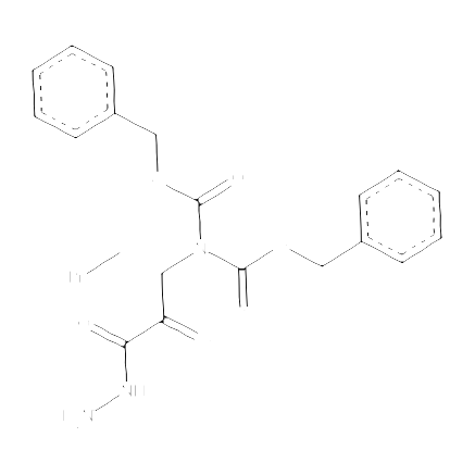 CC(C)C[C@@H](C(=O)C(=O)NN)N(C(=O)OCc1ccccc1)C(=O)OCc1ccccc1